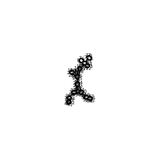 c1ccc(-c2c3ccccc3c(-c3ccc(-n4c5ccccc5c5cc(-c6ccc(-n7c8ccc(-c9ccc%10ccccc%10c9)cc8c8cc(-c9ccc%10ccccc%10c9)ccc87)cc6)ccc54)cc3)c3ccccc23)cc1